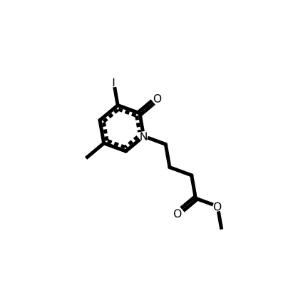 COC(=O)CCCn1cc(C)cc(I)c1=O